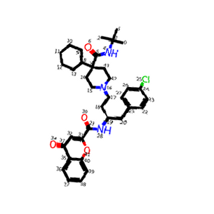 CC(C)(C)NC(=O)C1(C2CCCCC2)CCN(CC[C@@H](Cc2ccc(Cl)cc2)NC(=O)c2cc(=O)c3ccccc3o2)CC1